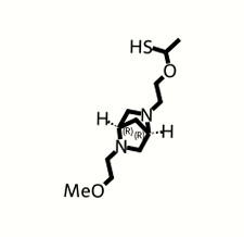 COCCN1C[C@H]2C[C@@H]1CN2CCOC(C)S